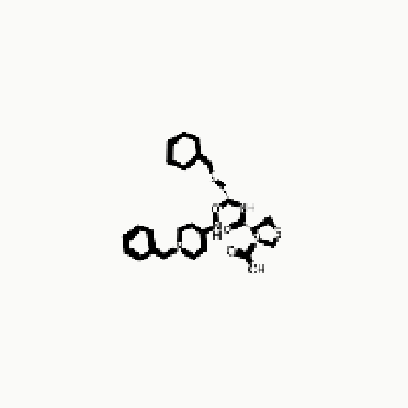 O=C(N[C@@H](CSCC1CCCCC1)ONC1CCN(Cc2ccccc2)CC1)[C@@H]1CSCN1C(=O)O